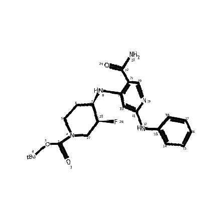 CC(C)(C)OC(=O)N1CC[C@@H](Nc2cc(Nc3ccccc3)ncc2C(N)=O)[C@@H](F)C1